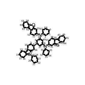 c1ccc(N(c2cc(-c3ccc4c5ccccc5n(-c5ccccc5)c4c3)cc(N(c3ccccc3)c3ccc4c(c3)sc3ccccc34)c2)c2ccc3c(c2)oc2ccccc23)cc1